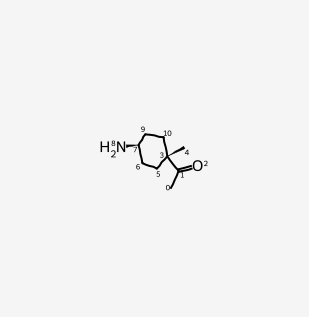 CC(=O)[C@]1(C)CC[C@@H](N)CC1